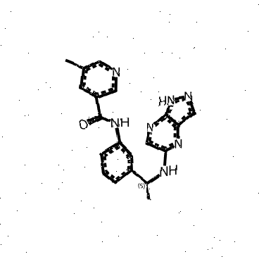 Cc1cncc(C(=O)Nc2cccc([C@H](C)Nc3cnc4[nH]ncc4n3)c2)c1